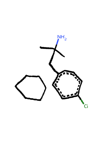 C1CCCCC1.CC(C)(N)Cc1ccc(Cl)cc1